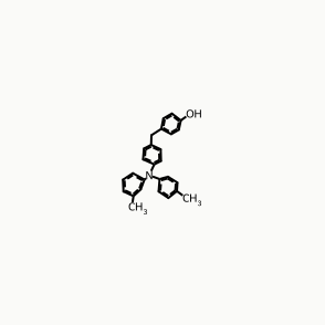 Cc1ccc(N(c2ccc(Cc3ccc(O)cc3)cc2)c2cccc(C)c2)cc1